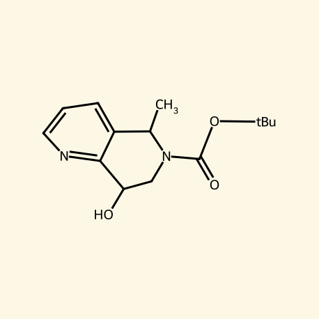 CC1c2cccnc2C(O)CN1C(=O)OC(C)(C)C